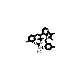 Cc1cccc(Cn2c(C)c(C)c3nccc(C(Cc4ccc(F)cc4)C(C)(C)OC(N)=O)c32)c1.Cl